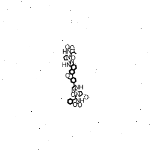 COC[C@H]1C[C@@H](c2ncc(-c3ccc4c(c3)COc3cc5c(ccc6nc([C@@H]7CC[C@H](C)N7C(=O)C(NC(=O)OC)C(C)C)[nH]c65)cc3-4)[nH]2)N(C(=O)[C@@H](NC(=O)OC)c2ccccc2)C1